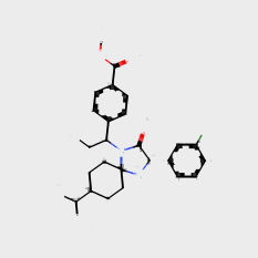 CCC(c1ccc(C(=O)OC)cc1)N1C(=O)[C@H](c2cccc(Cl)c2)NC12CCC(C(C)C)CC2